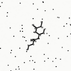 CCCNCC(CC)CC(C)CC